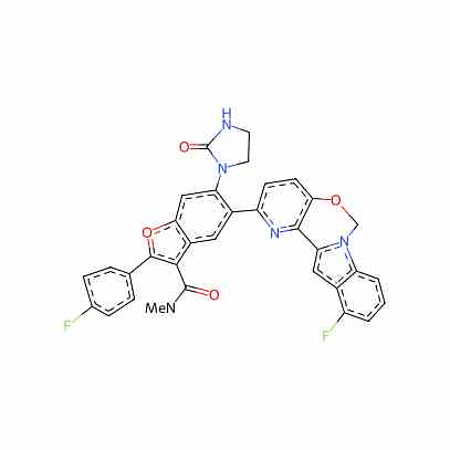 CNC(=O)c1c(-c2ccc(F)cc2)oc2cc(N3CCNC3=O)c(-c3ccc4c(n3)-c3cc5c(F)cccc5n3CO4)cc12